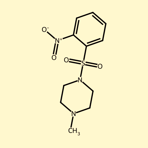 CN1CCN(S(=O)(=O)c2ccccc2[N+](=O)[O-])CC1